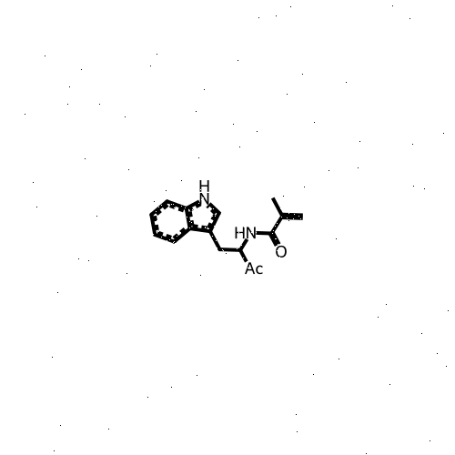 C=C(C)C(=O)NC(Cc1c[nH]c2ccccc12)C(C)=O